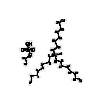 CCCCCCCC[N+](C)(CCCCCCCC)CCCCCCCC.CCOS(=O)(=O)O